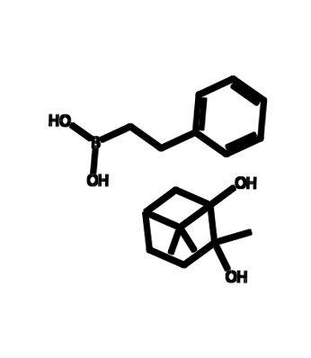 CC1(O)CCC2CC1(O)C2(C)C.OB(O)CCc1ccccc1